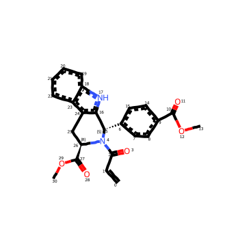 C=CC(=O)N1[C@@H](c2ccc(C(=O)OC)cc2)c2[nH]c3ccccc3c2C[C@@H]1C(=O)OC